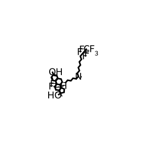 CN(CCCCCCCC(F)(F)C(F)(F)C(F)(F)F)CCCCC[C@@H]1Cc2cc(O)ccc2[C@H]2C(F)C[C@@]3(C)[C@@H](CC[C@]3(C)O)[C@H]12